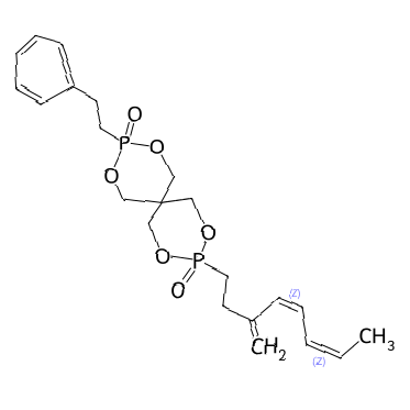 C=C(/C=C\C=C/C)CCP1(=O)OCC2(CO1)COP(=O)(CCc1ccccc1)OC2